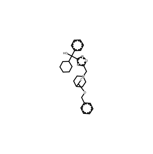 OC(c1ccccc1)(c1noc(C[N+]23CCC(CC2)C(OCc2ccccc2)C3)n1)C1CCCCC1